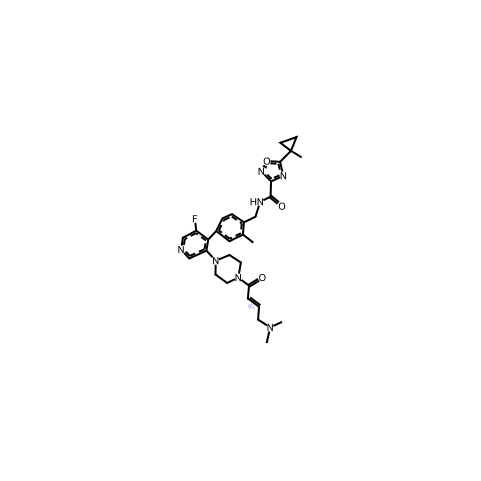 Cc1cc(-c2c(F)cncc2N2CCN(C(=O)/C=C/CN(C)C)CC2)ccc1CNC(=O)c1noc(C2(C)CC2)n1